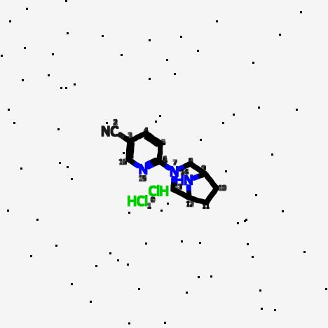 Cl.Cl.N#Cc1ccc(N2CC3CCC(C2)N3)nc1